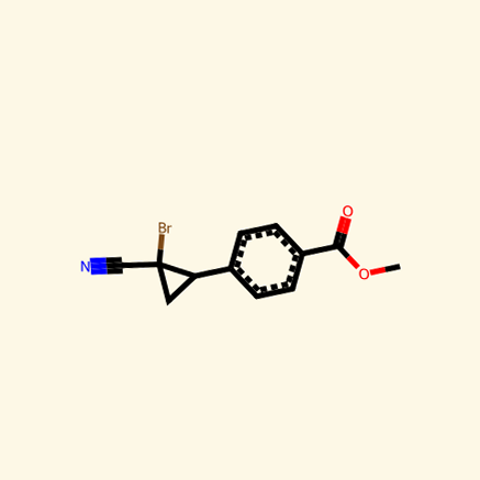 COC(=O)c1ccc(C2CC2(Br)C#N)cc1